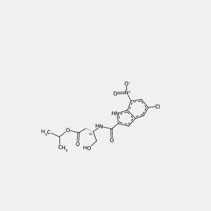 CC(C)OC(=O)C[C@@H](CO)NC(=O)c1cc2cc(Cl)cc([N+](=O)[O-])c2[nH]1